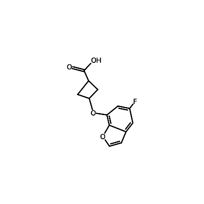 O=C(O)C1CC(Oc2cc(F)cc3ccoc23)C1